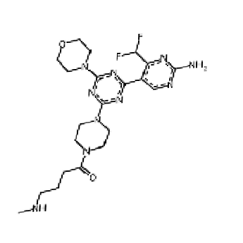 CNCCCC(=O)N1CCN(c2nc(-c3cnc(N)nc3C(F)F)nc(N3CCOCC3)n2)CC1